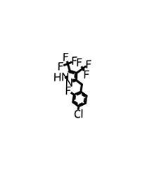 Fc1cc(Cl)ccc1Cc1n[nH]c(C(F)(F)F)c1C(F)(F)F